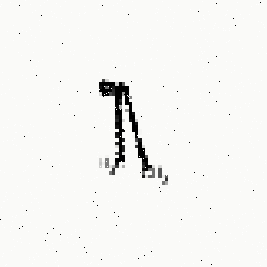 CCCCCCCCCCCCCCCCCCN1C=CN(c2ccccc2)C1CCCCCCCCCCCCCCC